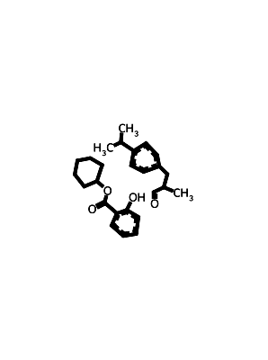 CC(C=O)Cc1ccc(C(C)C)cc1.O=C(OC1CCCCC1)c1ccccc1O